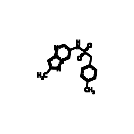 Cc1ccc(CS(=O)(=O)Nc2cnc3cc(C)nn3c2)cc1